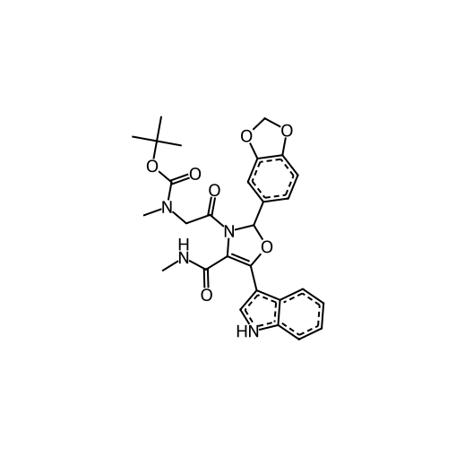 CNC(=O)C1=C(c2c[nH]c3ccccc23)OC(c2ccc3c(c2)OCO3)N1C(=O)CN(C)C(=O)OC(C)(C)C